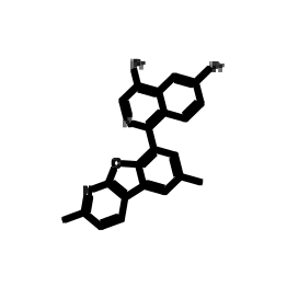 Cc1cc(-c2ncc(C(C)C)c3cc(C(C)C)ccc23)c2oc3nc(C)ccc3c2c1